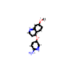 CCOc1ccc2c(Oc3ccc(N)nc3)ccnc2c1